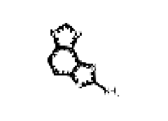 Nc1nc2c(ccc3ncoc32)s1